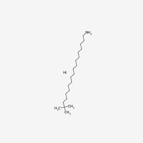 CC(C)(C)CCCCCCCCCCCCCCCCCN.I